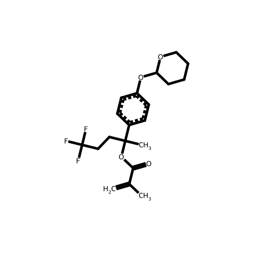 C=C(C)C(=O)OC(C)(CCC(F)(F)F)c1ccc(OC2CCCCO2)cc1